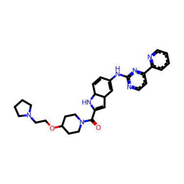 O=C(C1=CC2C=C(Nc3nccc(-c4ccccn4)n3)C=CC2N1)N1CCC(OCCN2CCCC2)CC1